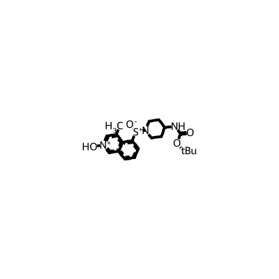 Cc1c[n+](O)cc2cccc([S+]([O-])N3CCC(NC(=O)OC(C)(C)C)CC3)c12